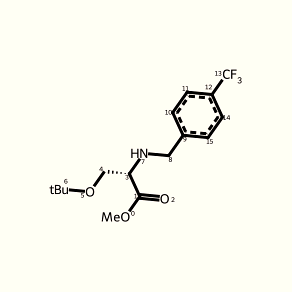 COC(=O)[C@H](COC(C)(C)C)NCc1ccc(C(F)(F)F)cc1